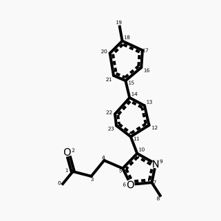 CC(=O)CCc1oc(C)nc1-c1ccc(-c2ccc(C)cc2)cc1